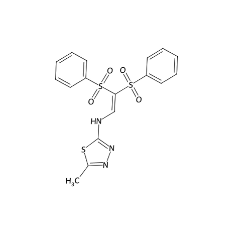 Cc1nnc(NC=C(S(=O)(=O)c2ccccc2)S(=O)(=O)c2ccccc2)s1